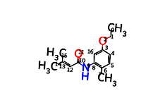 CCOc1ccc(C)c(NC(=O)C=C(C)C)c1